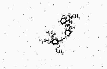 CCOc1cc(OCC)c(OCC)cc1CNC[C@H]1CC[C@@H](Nc2nc3c(c(N(C)C)n2)CCCC3)CC1